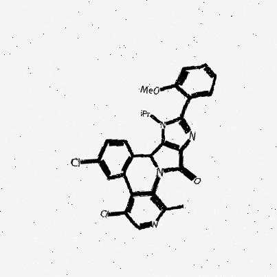 COc1ccccc1-c1nc2c(n1C(C)C)C1c3ccc(Cl)cc3-c3c(Cl)cnc(C)c3N1C2=O